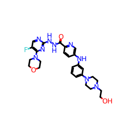 O=C(NNc1ncc(F)c(N2CCOCC2)n1)c1ccc(Nc2cccc(N3CCN(CCO)CC3)c2)cn1